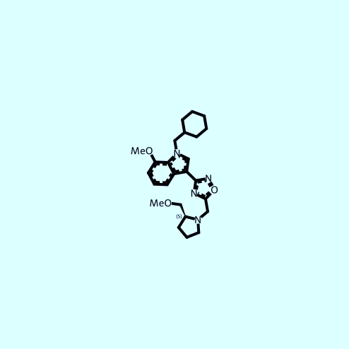 COC[C@@H]1CCCN1Cc1nc(-c2cn(CC3CCCCC3)c3c(OC)cccc23)no1